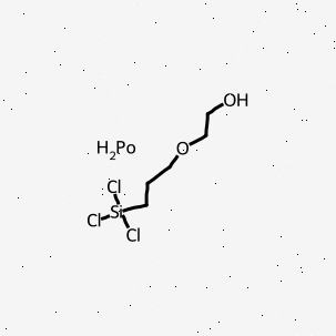 OCCOCCC[Si](Cl)(Cl)Cl.[PoH2]